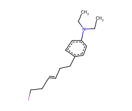 CCN(CC)c1ccc(CC/C=C/CCI)cc1